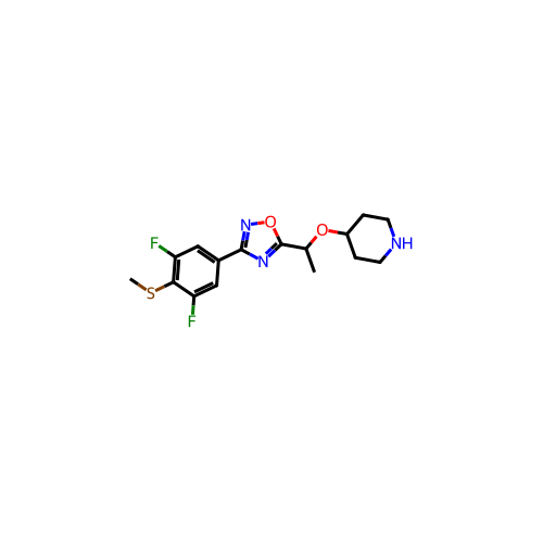 CSc1c(F)cc(-c2noc(C(C)OC3CCNCC3)n2)cc1F